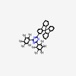 [2H]c1c([2H])c([2H])c(-c2nc(-c3ccc4c(c3)C3(c5ccccc5-c5ccccc53)c3ccccc3-4)nc(-c3c([2H])c([2H])c([2H])c([2H])c3[2H])n2)c([2H])c1[2H]